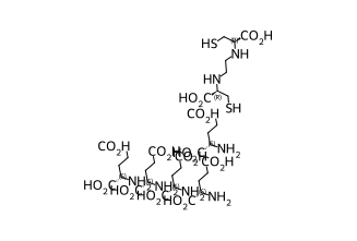 N[C@@H](CCC(=O)O)C(=O)O.N[C@@H](CCC(=O)O)C(=O)O.N[C@@H](CCC(=O)O)C(=O)O.N[C@@H](CCC(=O)O)C(=O)O.N[C@@H](CCC(=O)O)C(=O)O.O=C(O)[C@H](CS)NCCN[C@@H](CS)C(=O)O